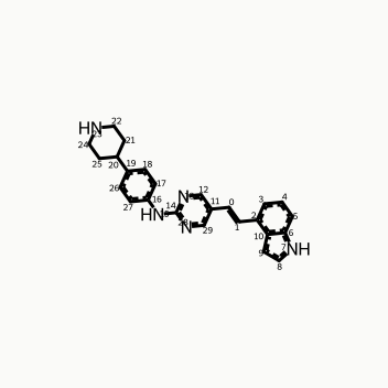 C(=Cc1cccc2[nH]ccc12)c1cnc(Nc2ccc(C3CCNCC3)cc2)nc1